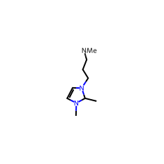 CNCCCN1C=CN(C)C1C